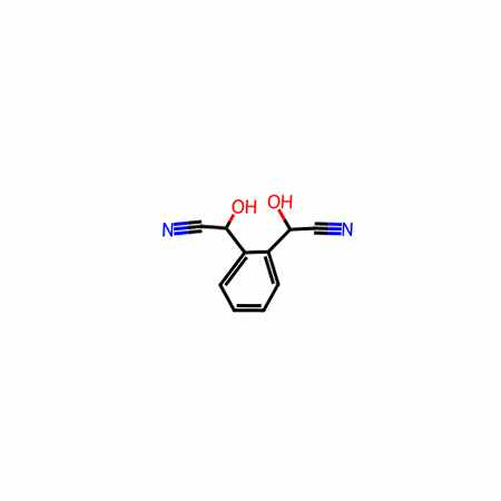 N#CC(O)c1ccccc1C(O)C#N